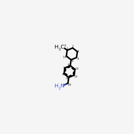 CC1CCCC(c2ccc(CN)cc2)C1